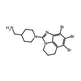 NCC1CCN(c2nc3c(Br)c(Br)c(Br)c4c3n2CCC4)CC1